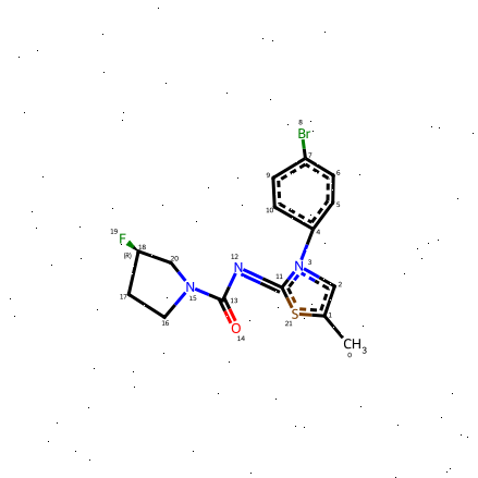 Cc1cn(-c2ccc(Br)cc2)c(=NC(=O)N2CC[C@@H](F)C2)s1